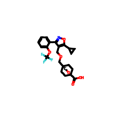 O=C(O)C12CCC(COCc3c(-c4ccccc4OC(F)(F)F)noc3C3CC3)(CC1)CO2